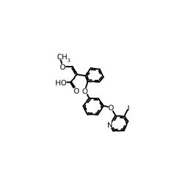 COC=C(C(=O)O)c1ccccc1Oc1cccc(Oc2ncccc2I)c1